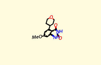 COc1cc(C2CCOCC2)c2c(=O)[nH]c(=O)[nH]c2c1